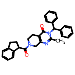 Cc1nc2c(c(=O)n1C(c1ccccc1)c1ccccc1)CCN(C(=O)C1CCc3ccccc31)C2